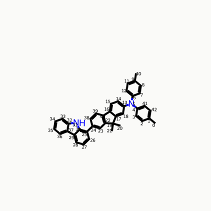 Cc1ccc(N(c2ccc(C)cc2)c2ccc3c(c2)C(C)(C)c2cc(-c4cccc5c4[nH]c4ccccc45)ccc2-3)cc1